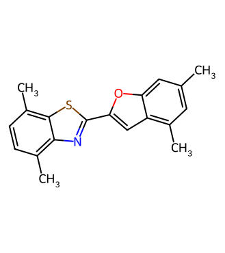 Cc1cc(C)c2cc(-c3nc4c(C)ccc(C)c4s3)oc2c1